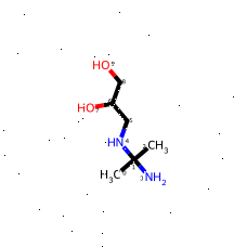 CC(C)(N)NCC(O)CO